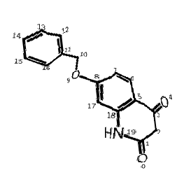 O=C1CC(=O)c2ccc(OCc3ccccc3)cc2N1